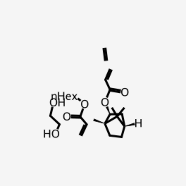 C=C.C=CC(=O)OCCCCCC.C=CC(=O)O[C@H]1C[C@@H]2CC[C@@]1(C)C2(C)C.OCCO